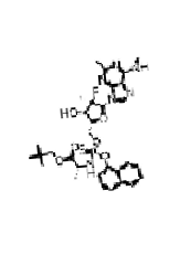 CNc1nc(C)nc2c1ncn2[C@@H]1O[C@H](COP(=S)(N[C@H](C)C(=O)OCC(C)(C)C)Oc2cccc3ccccc23)[C@@H](O)[C@@]1(C)F